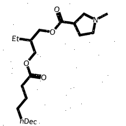 CCCCCCCCCCCCCC(=O)OCC(CC)COC(=O)C1CCN(C)C1